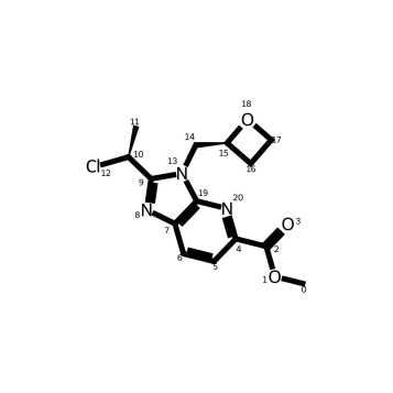 COC(=O)c1ccc2nc([C@H](C)Cl)n(C[C@@H]3CCO3)c2n1